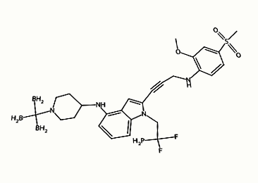 BC(B)(B)N1CCC(Nc2cccc3c2cc(C#CCNc2ccc(S(C)(=O)=O)cc2OC)n3CC(F)(F)P)CC1